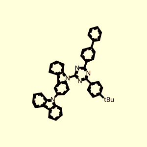 CC(C)(C)c1ccc(-c2nc(-c3ccc(-c4ccccc4)cc3)nc(-n3c4ccccc4c4cc(-n5c6ccccc6c6ccccc65)ccc43)n2)cc1